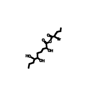 CCCC(Br)C(=O)OC(=O)C(O)CCCC(O)C(O)CCC